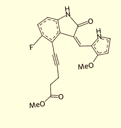 COC(=O)CCC#Cc1c(F)ccc2c1C(=Cc1[nH]ccc1OC)C(=O)N2